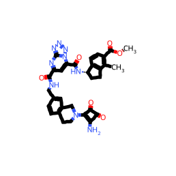 COC(=O)c1ccc2c(c1C)CC[C@@H]2NC(=O)c1cc(C(=O)NCc2ccc3c(c2)CN(c2c(N)c(=O)c2=O)CC3)nc2nnnn12